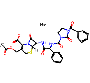 CC(=O)OCC1=C(C(=O)[O-])N2C(=O)C(NC(=O)C(NC(=O)N3CCN(C(=O)c4ccccc4)C3=O)c3ccccc3)[C@@H]2SC1.[Na+]